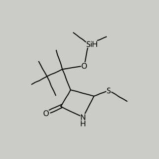 CSC1NC(=O)C1C(C)(O[SiH](C)C)C(C)(C)C